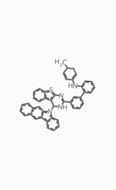 CC1C=CC(Nc2ccccc2-c2cccc(C3=Nc4sc5ccccc5c4C(n4c5ccccc5c5cc6ccccc6cc54)N3)c2)=CC1